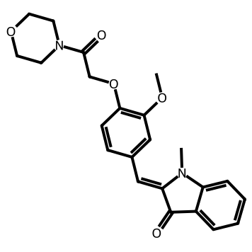 COc1cc(C=C2C(=O)c3ccccc3N2C)ccc1OCC(=O)N1CCOCC1